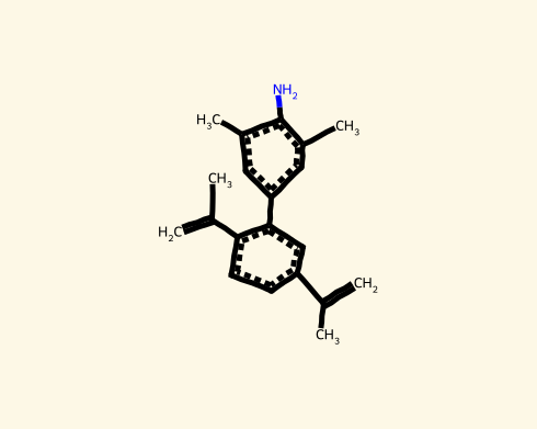 C=C(C)c1ccc(C(=C)C)c(-c2cc(C)c(N)c(C)c2)c1